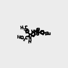 Cc1ccc(-c2c(C(=O)O)[nH]c3ccc(NS(=O)(=O)c4ccc(C(C)(C)C)cc4)cc23)s1